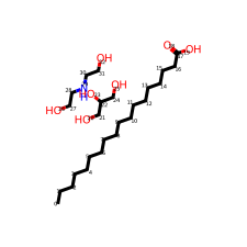 CCCCCCCCCCCCCCCCCC(=O)O.OCC(O)CO.OCCNCCO